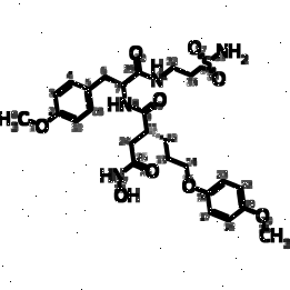 COc1ccc(C[C@H](NC(=O)[C@H](CCCOc2ccc(OC)cc2)CC(=O)NO)C(=O)NCCS(N)(=O)=O)cc1